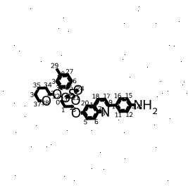 CCC(Oc1ccc2nc(-c3ccc(N)cc3)ccc2c1)OS(=O)(=O)c1ccc(C)cc1OC1CCCCO1